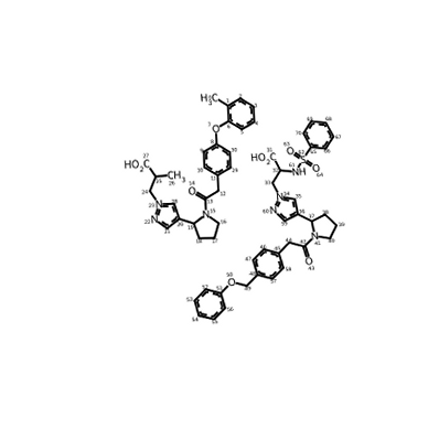 Cc1ccccc1Oc1ccc(CC(=O)N2CCCC2c2cnn(CC(C)C(=O)O)c2)cc1.O=C(O)C(Cn1cc(C2CCCN2C(=O)Cc2ccc(COc3ccccc3)cc2)cn1)NS(=O)(=O)c1ccccc1